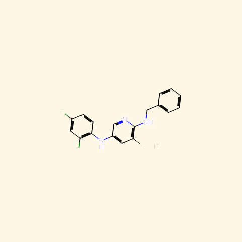 O=C(O)c1cc(Nc2ccc(F)cc2F)cnc1NCc1ccccc1